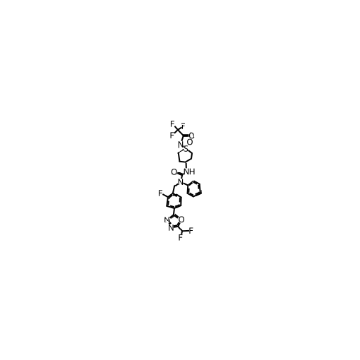 O=C(NC1CCS(=O)(=NC(=O)C(F)(F)F)CC1)N(Cc1ccc(-c2nnc(C(F)F)o2)cc1F)c1ccccc1